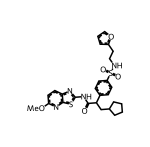 COc1ccc2nc(NC(=O)C(CC3CCCC3)c3ccc(S(=O)(=O)NCCc4ccco4)cc3)sc2n1